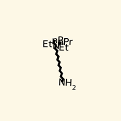 CCCC(CC)N(CCCCCCCCCCCCN)C(CC)CCC